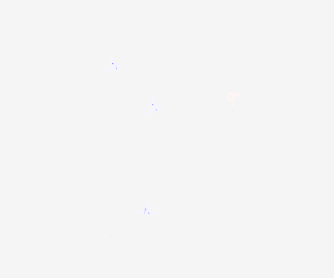 c1ccc(-n2c3ccccc3c3cc(-c4cccc(N(c5ccc(-c6cccc7c6oc6ccccc67)cc5)c5cccc(-n6c7ccccc7c7ccccc76)c5)c4)ccc32)cc1